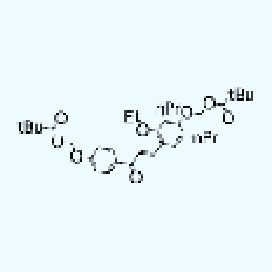 CCCc1cc(/C=C/C(=O)c2ccc(OCOC(=O)C(C)(C)C)cc2)c(OCC)c(CCC)c1OCOC(=O)C(C)(C)C